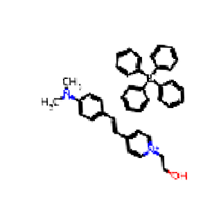 CN(C)c1ccc(/C=C/c2cc[n+](CCO)cc2)cc1.c1ccc([B-](c2ccccc2)(c2ccccc2)c2ccccc2)cc1